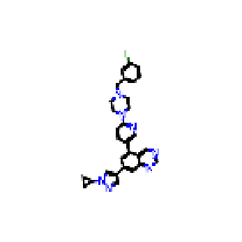 Fc1cccc(CN2CCN(c3ccc(-c4cc(-c5cnn(C6CC6)c5)cc5ncncc45)cn3)CC2)c1